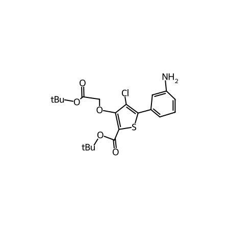 CC(C)(C)OC(=O)COc1c(C(=O)OC(C)(C)C)sc(-c2cccc(N)c2)c1Cl